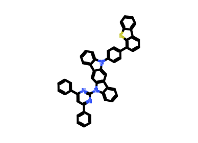 c1ccc(-c2cc(-c3ccccc3)nc(-n3c4ccccc4c4cc5c(cc43)c3ccccc3n5-c3ccc(-c4cccc5c4sc4ccccc45)cc3)n2)cc1